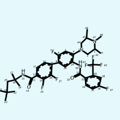 CC1CN(c2cc(F)c(-c3ccc(C(=O)NC(C)(C)CC(C)(C)C)c(F)c3F)cc2NC(=O)c2ccc(F)cc2C(F)(F)F)CC(C)N1C